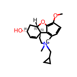 COc1ccc2c3c1O[C@H]1C[C@@H](O)C=C[C@@]31CC[N+](C)(CC1CC1)C2